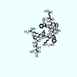 CC(C)C[C@H](NC(=O)[C@@H](CCCCN)NC(=O)[C@H](Cc1ccc(O)cc1)NC(=O)[C@H](CO)NC(=O)[C@H](Cc1c[nH]c2ccccc12)NC(=O)[C@H](Cc1c[nH]cn1)NC(=O)[C@@H](N)CCC(=O)O)C(=O)N[C@@H](CCCNC(=N)N)C(=O)N1CCC[C@H]1C(=O)NCC(=O)N[C@@H](CS)C(=O)O